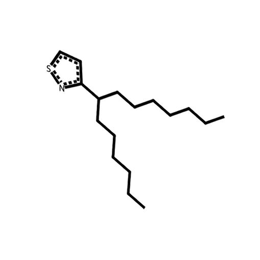 CCCCCCCC(CCCCCC)c1ccsn1